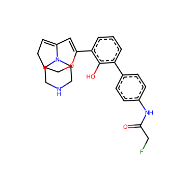 O=C(CF)Nc1ccc(-c2cccc(/C3=C/C(N4CCNCC4)=C/CCCO3)c2O)cc1